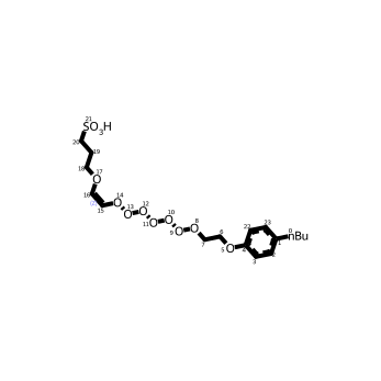 CCCCc1ccc(OCCOOOOOOO/C=C\OCCCS(=O)(=O)O)cc1